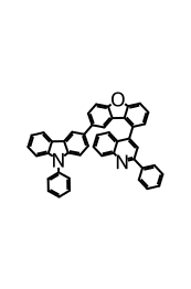 c1ccc(-c2cc(-c3cccc4oc5ccc(-c6ccc7c(c6)c6ccccc6n7-c6ccccc6)cc5c34)c3ccccc3n2)cc1